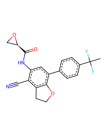 CC(F)(F)c1ccc(-c2cc(NC(=O)[C@H]3CO3)c(C#N)c3c2OCC3)cc1